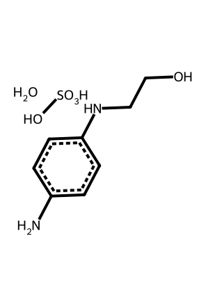 Nc1ccc(NCCO)cc1.O.O=S(=O)(O)O